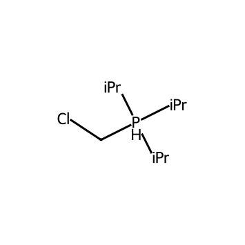 CC(C)[PH](CCl)(C(C)C)C(C)C